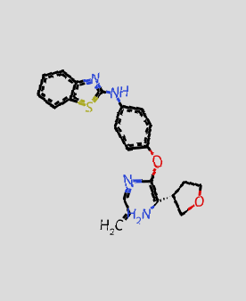 C=C/C=N\C(Oc1ccc(Nc2nc3ccccc3s2)cc1)=C(/N)[C@@H]1CCOC1